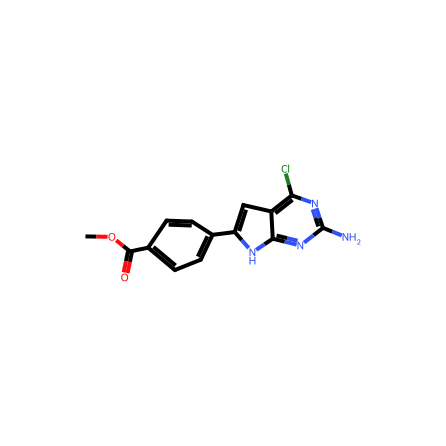 COC(=O)c1ccc(-c2cc3c(Cl)nc(N)nc3[nH]2)cc1